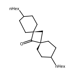 CCCCCCC1CC[C@]2(CC1)C[C@@]1(CCC(CCCCCC)CC1)C2=O